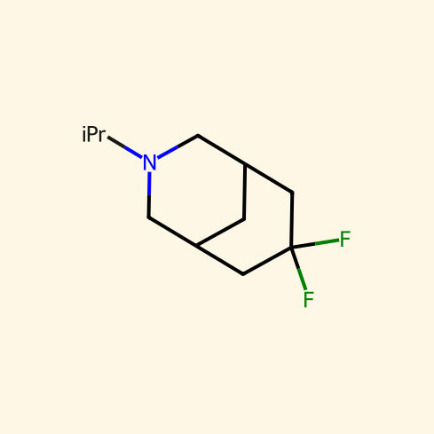 CC(C)N1CC2CC(C1)CC(F)(F)C2